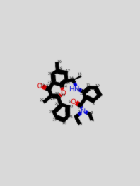 CCN(CC)C(=O)c1ccccc1N[C@H](C)c1cc(C)cc2c(=O)c(C)c(-c3ccccc3)oc12